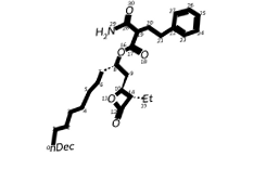 CCCCCCCCCCCCCCCCC[C@@H](C[C@@H]1OC(=O)[C@H]1CC)OC(=O)C(CCc1ccccc1)C(N)=O